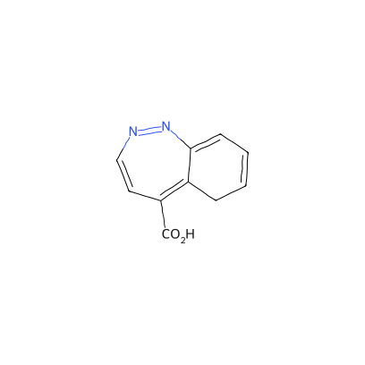 O=C(O)C1=C2CC=CC=C2N=NC=C1